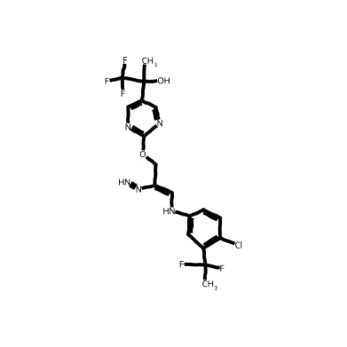 CC(F)(F)c1cc(N/C=C(/COc2ncc(C(C)(O)C(F)(F)F)cn2)N=N)ccc1Cl